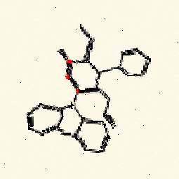 C=C/C=C\C(=C/C=C)C(C(/C=C\C(=C)n1c2ccccc2c2ccccc21)=C/C)c1ccccc1